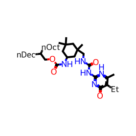 CCCCCCCCCCC(CCCCCCCC)COC(=O)NC1CC(C)(C)CC(C)(CNC(=O)Nc2nc(=O)c(CC)c(C)[nH]2)C1